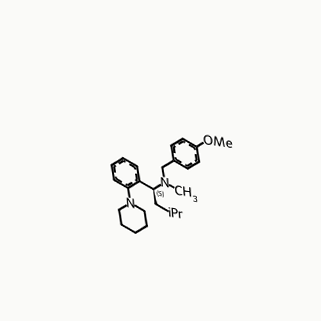 COc1ccc(CN(C)[C@@H](CC(C)C)c2ccccc2N2CCCCC2)cc1